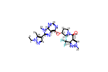 CCn1ncc(-c2nc3c(O[C@H]4CCN(C(=O)c5cn(C)nc5C(F)(F)F)C4)ncnc3n2C)c1C